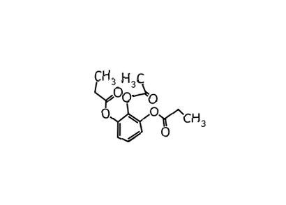 CCC(=O)Oc1cccc(OC(=O)CC)c1OC(C)=O